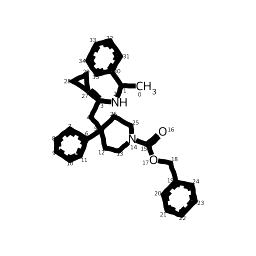 CC(NC(CC1(c2ccccc2)CCN(C(=O)OCc2ccccc2)CC1)=C1CC1)c1ccccc1